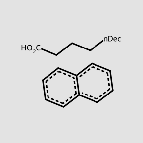 CCCCCCCCCCCCCC(=O)O.c1ccc2ccccc2c1